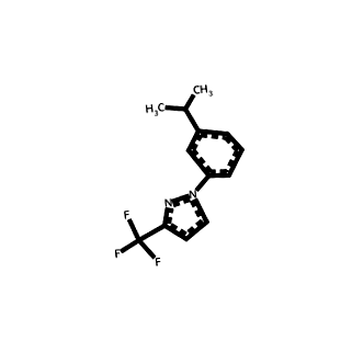 CC(C)c1cccc(-n2ccc(C(F)(F)F)n2)c1